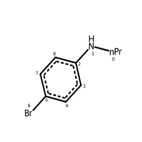 CCCNc1ccc(Br)cc1